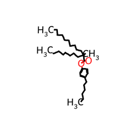 CCCCCCCCCCC(C)(CCCCCCCC)C(=O)Oc1ccc(CCCCCC)cc1